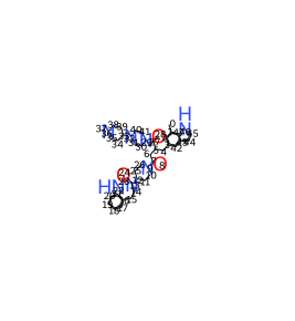 Cc1cc(CC(CC(=O)N2CCC(N3CCc4ccccc4NC3=O)CC2)C(=O)N2CCN(C3CCN(C)CC3)CC2)cc2cc[nH]c12